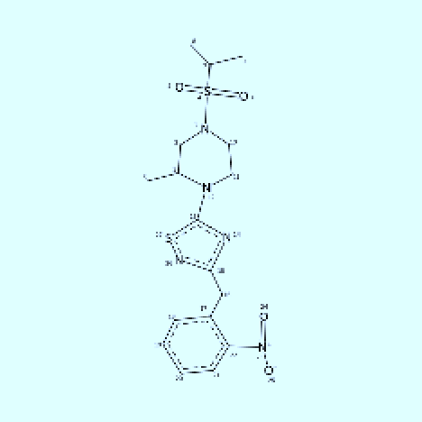 CC1CN(S(=O)(=O)C(C)C)CCN1c1nc(Cc2ccccc2[N+](=O)[O-])ns1